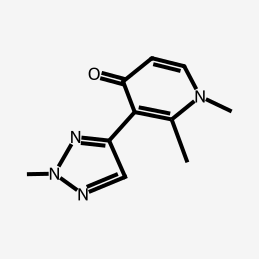 Cc1c(-c2cnn(C)n2)c(=O)ccn1C